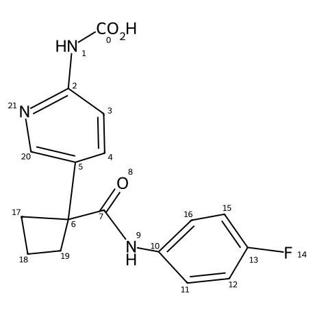 O=C(O)Nc1ccc(C2(C(=O)Nc3ccc(F)cc3)CCC2)cn1